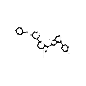 Fc1ccc(-c2nccc3[nH]c(-c4n[nH]c5ccc(-c6cncc(OCc7ccccc7)c6)nc45)cc23)cc1